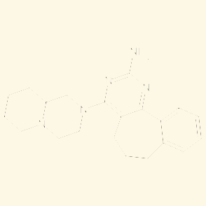 Nc1nc2c(c(N3CCN4CCCCC4C3)n1)CCCc1ccccc1-2